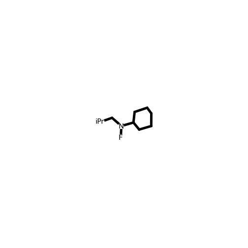 CC(C)CN(F)C1CCCCC1